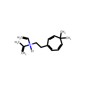 C=C[N+](CC)(CCC1=CC=CC(C)(C)C=C1)C(=C)C